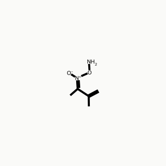 C=C(C)/C(C)=[N+](/[O-])ON